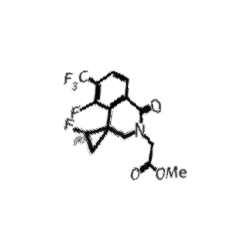 COC(=O)CN1CC2(C[C@H]2F)c2c(ccc(C(F)(F)F)c2F)C1=O